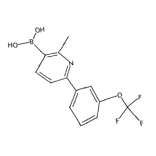 Cc1nc(-c2cccc(OC(F)(F)F)c2)ccc1B(O)O